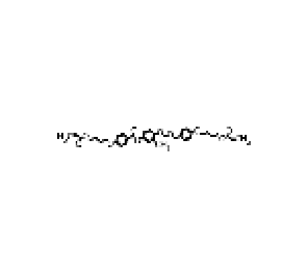 C=CC(=O)OCCCCOc1ccc(COCOc2ccc(OC(=O)c3ccc(OCCCCOC(=O)C=C)cc3)cc2C)cc1